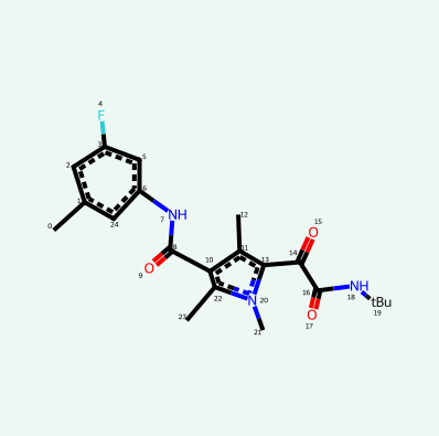 Cc1cc(F)cc(NC(=O)c2c(C)c(C(=O)C(=O)NC(C)(C)C)n(C)c2C)c1